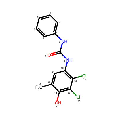 O=C(Nc1ccccc1)Nc1cc(C(F)(F)F)c(O)c(Cl)c1Cl